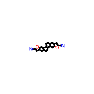 N#Cc1cc2cc3ccc4c5cc6oc(C#N)cc6cc5ccc4c3cc2o1